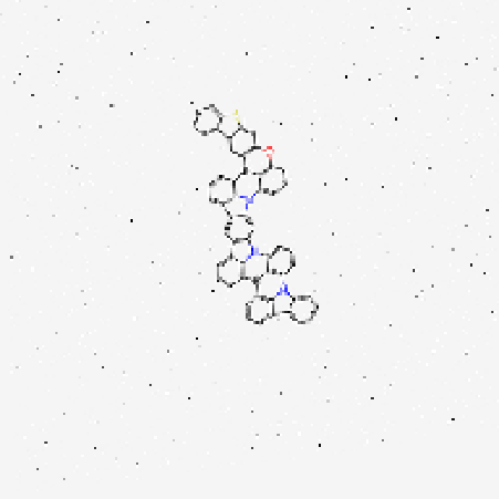 c1cc2c3c(c1)-n1c4cc5c(cc4c4cccc(c41)B3c1cc3c(cc1O2)sc1ccccc13)c1cccc2c1n5-c1cccc3c1B2c1cccc2c4ccccc4n-3c12